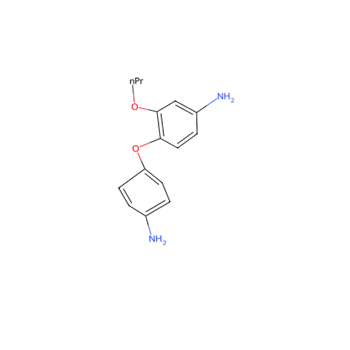 CCCOc1cc(N)ccc1Oc1ccc(N)cc1